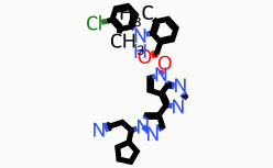 Cc1cccc(C(=O)On2ccc3c(-c4cnn(C(CC#N)C5CCCC5)c4)ncnc32)c1Nc1cccc(Cl)c1C